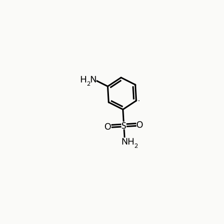 Nc1cc[c]c(S(N)(=O)=O)c1